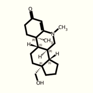 CN1C[C@H]2[C@@H]3CCC[C@@]3(CO)CC[C@@H]2[C@@]2(C)CCC(=O)C=C12